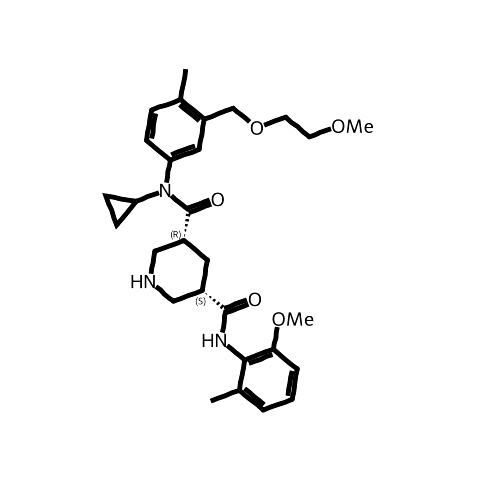 COCCOCc1cc(N(C(=O)[C@H]2CNC[C@@H](C(=O)Nc3c(C)cccc3OC)C2)C2CC2)ccc1C